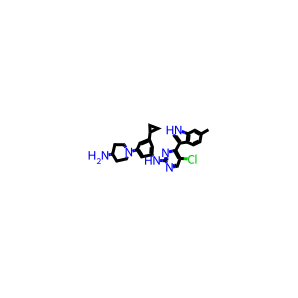 Cc1ccc2c(-c3nc(Nc4cc(C5CC5)cc(N5CCC(N)CC5)c4)ncc3Cl)c[nH]c2c1